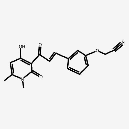 Cc1cc(O)c(C(=O)C=Cc2cccc(OCC#N)c2)c(=O)n1C